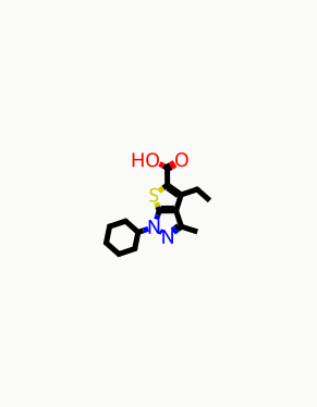 CCc1c(C(=O)O)sc2c1c(C)nn2C1CCCCC1